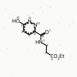 CCOC(=O)CCNC(=O)c1ccc(O)nn1